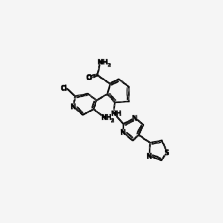 NC(=O)c1cccc(Nc2ncc(-c3cscn3)cn2)c1-c1cc(Cl)ncc1N